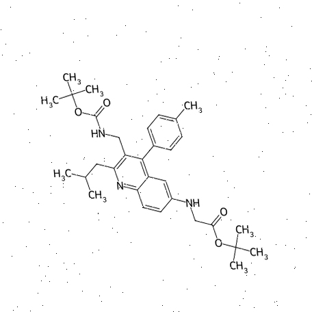 Cc1ccc(-c2c(CNC(=O)OC(C)(C)C)c(CC(C)C)nc3ccc(NCC(=O)OC(C)(C)C)cc23)cc1